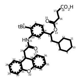 CC(C)(C)c1ccc(C(CC2CCCCC2)OC(=O)CCC(=O)O)cc1NC(=O)CC1c2ccccc2Oc2ccccc21